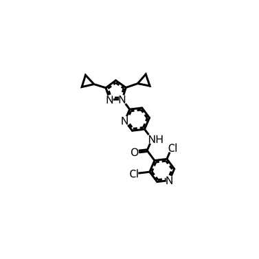 O=C(Nc1ccc(-n2nc(C3CC3)cc2C2CC2)nc1)c1c(Cl)cncc1Cl